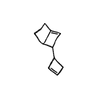 C1=CC(C2C=C3CCC32)C1